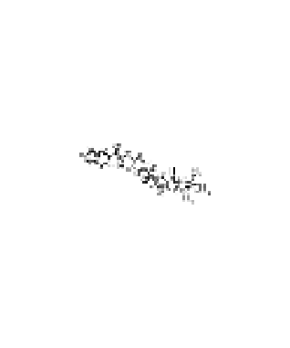 CC(C)(C)OC(=O)NC12C[C@@H]1CN(S(=O)(=O)c1ccc(CNC(=O)c3ccc4nccn4c3)cc1)C2